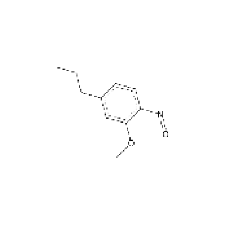 CCCc1ccc(N=O)c(OC)c1